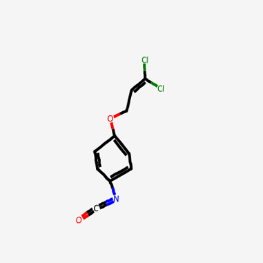 O=C=Nc1ccc(OCC=C(Cl)Cl)cc1